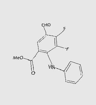 COC(=O)c1cc(C=O)c(F)c(F)c1Nc1ccccc1